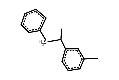 Cc1cccc(C(C)[SiH2]c2ccccc2)c1